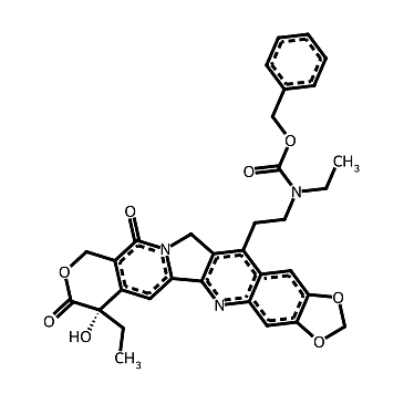 CCN(CCc1c2c(nc3cc4c(cc13)OCO4)-c1cc3c(c(=O)n1C2)COC(=O)[C@]3(O)CC)C(=O)OCc1ccccc1